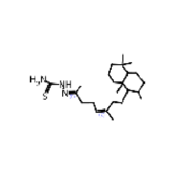 C/C(=C/CC/C(C)=N/NC(N)=S)CCC1C(C)CCC2C(C)(C)CCCC12C